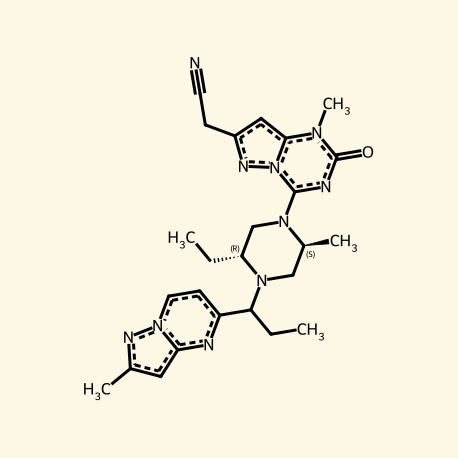 CCC(c1ccn2nc(C)cc2n1)N1C[C@H](C)N(c2nc(=O)n(C)c3cc(CC#N)nn23)C[C@H]1CC